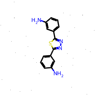 Nc1cccc(-c2nnc(-c3cccc(N)c3)s2)c1